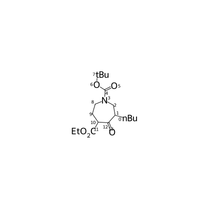 CCCCC1CN(C(=O)OC(C)(C)C)CCC(C(=O)OCC)C1=O